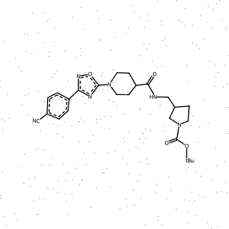 CC(C)(C)OC(=O)N1CCC(CNC(=O)C2CCN(c3nc(-c4ccc(C#N)cc4)no3)CC2)C1